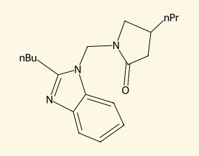 CCCCc1nc2ccccc2n1CN1CC(CCC)CC1=O